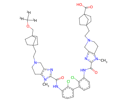 [2H]C([2H])([2H])OCC12CCC(CCN3CCc4c(nc(C(=O)Nc5cccc(-c6cccc(NC(=O)c7nc8c(n7C)CCN(CCC79CCC(C(=O)O)(CC7)C9)C8)c6Cl)c5Cl)n4C)C3)(CC1)C2